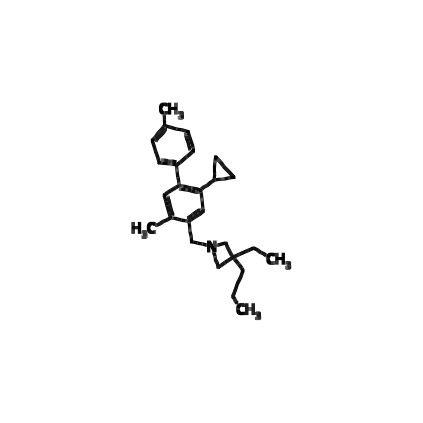 CCCC1(CC)CN(Cc2cc(C3CC3)c(-c3ccc(C)cc3)cc2C)C1